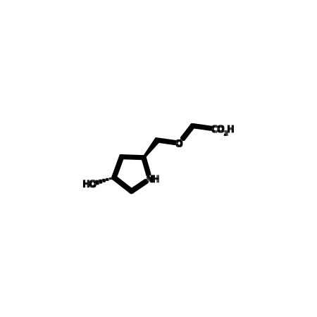 O=C(O)COC[C@@H]1C[C@@H](O)CN1